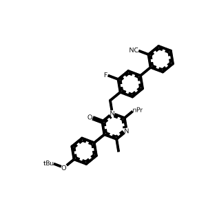 CCCc1nc(C)c(-c2ccc(OC(C)(C)C)cc2)c(=O)n1Cc1ccc(-c2ccccc2C#N)cc1F